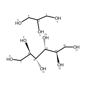 OCC(O)CO.OC[C@@H](O)[C@@H](O)[C@H](O)[C@H](O)CO